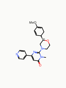 COC1=CCC([C@@H]2CN(c3nc(-c4ccncc4)cc(=O)n3C)CCO2)C=C1